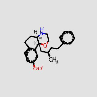 CC(CCc1ccccc1)C[C@]12OCCN[C@@H]1CCc1ccc(O)cc12